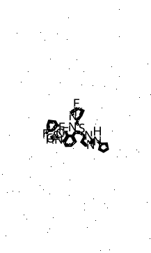 O=S(=O)(Nc1cccc(-c2nc(-c3ccc(F)cn3)sc2-c2ccnc(NC3CCCC3)n2)c1F)c1c(F)cccc1F